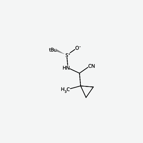 CC1(C(C#N)N[S@@+]([O-])C(C)(C)C)CC1